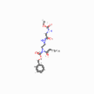 CNCC(=O)N(CCNC(=O)CNC(=O)OC(C)(C)C)C(=O)OCc1ccccc1